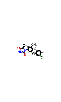 C=C1C(=O)NC(=O)N1c1cc(C)c(Sc2ccc(Cl)cc2)c(C)c1